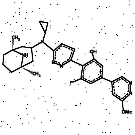 COc1cc(-c2cc(O)c(-c3ccc(N(C4CC4)C4C[C@]5(C)CCC[C@](C)(C4)N5)nn3)c(F)c2)cnn1